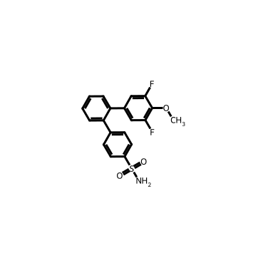 COc1c(F)cc(-c2ccccc2-c2ccc(S(N)(=O)=O)cc2)cc1F